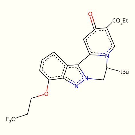 CCOC(=O)c1cn2c(cc1=O)-c1c3cccc(OCCC(F)(F)F)c3nn1CC2C(C)(C)C